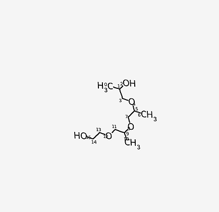 CC(O)COC(C)COC(C)COCCO